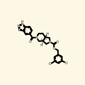 O=C(OCc1cc(Cl)cc(Cl)c1)N1C[C@H]2CCN(C(=O)c3ccc4[nH]nnc4c3)C[C@@H]2C1